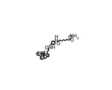 NOC(=O)CCCCCCC(=O)Nc1ccc(CNC(=O)CCc2ccc3n2[B-](F)(F)[N+]2=C(c4ccc[nH]4)C=CC2=C3)cc1